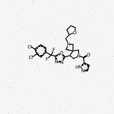 O=C(c1ccn[nH]1)N1CC(c2nnc(C(F)(F)c3ccc(Cl)c(Cl)c3)o2)C2(CN(CC3CCCO3)C2)C1